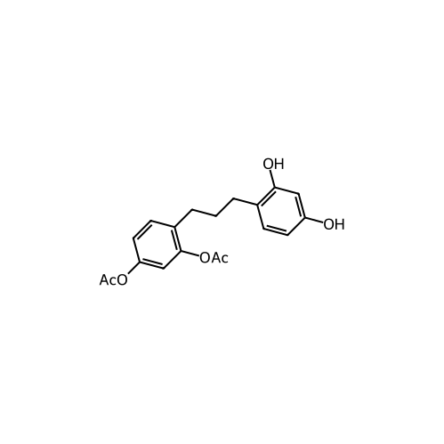 CC(=O)Oc1ccc(CCCc2ccc(O)cc2O)c(OC(C)=O)c1